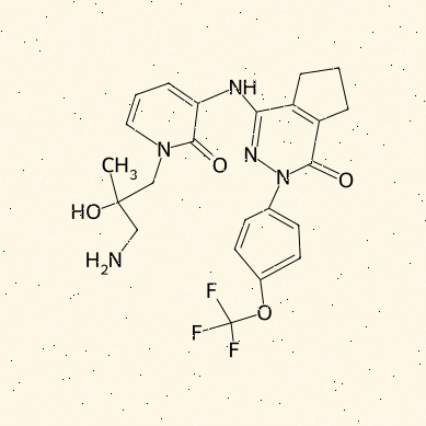 CC(O)(CN)Cn1cccc(Nc2nn(-c3ccc(OC(F)(F)F)cc3)c(=O)c3c2CCC3)c1=O